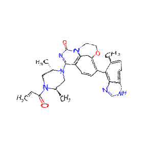 C=CC(=O)N1C[C@H](C)N(c2nc(=O)n3c4c(c(-c5c(C)ccc6[nH]cnc56)ccc24)OCC3)C[C@H]1C